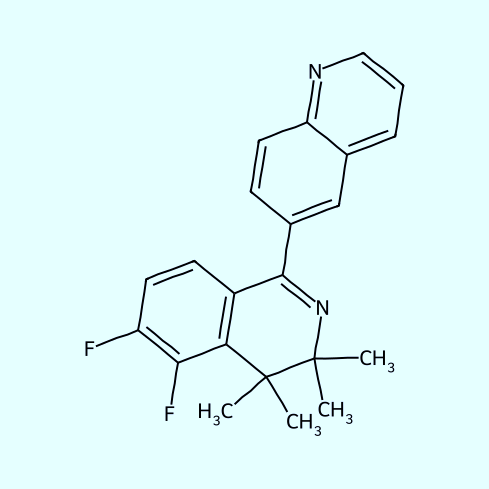 CC1(C)N=C(c2ccc3ncccc3c2)c2ccc(F)c(F)c2C1(C)C